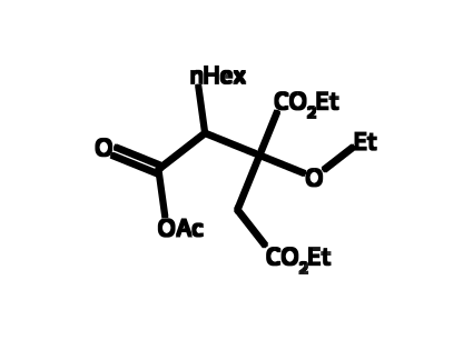 CCCCCCC(C(=O)OC(C)=O)C(CC(=O)OCC)(OCC)C(=O)OCC